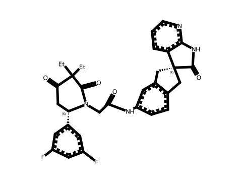 CCC1(CC)C(=O)C[C@@H](c2cc(F)cc(F)c2)N(CC(=O)Nc2ccc3c(c2)C[C@@]2(C3)C(=O)Nc3ncccc32)C1=O